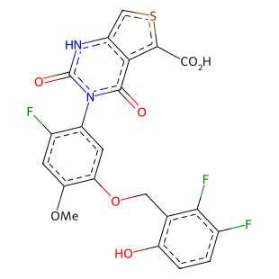 COc1cc(F)c(-n2c(=O)[nH]c3csc(C(=O)O)c3c2=O)cc1OCc1c(O)ccc(F)c1F